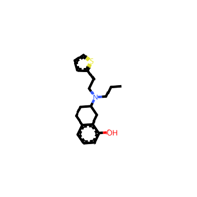 CCCN(CCc1cccs1)C1CCc2cccc(O)c2C1